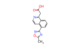 Cc1nc(-c2cccc3c(CC(=O)O)nccc23)no1